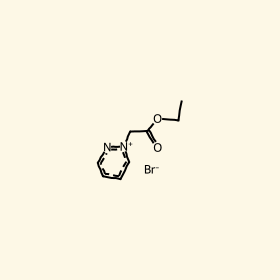 CCOC(=O)C[n+]1ccccn1.[Br-]